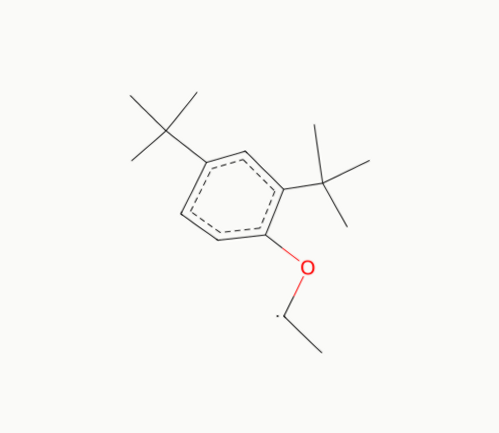 C[CH]Oc1ccc(C(C)(C)C)cc1C(C)(C)C